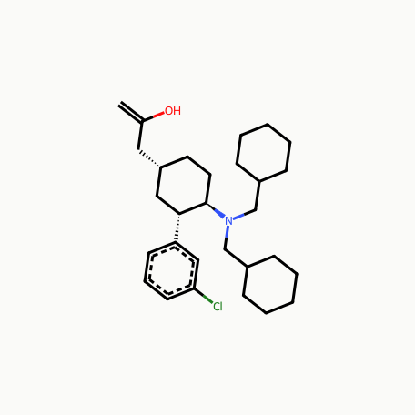 C=C(O)C[C@@H]1CC[C@@H](N(CC2CCCCC2)CC2CCCCC2)[C@H](c2cccc(Cl)c2)C1